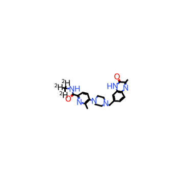 [2H]C([2H])([2H])NC(=O)c1ccc(N2CCN(Cc3ccc4nc(C)c(=O)[nH]c4c3)CC2)c(C)n1